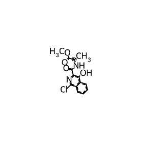 COC(=O)[C@@H](C)NC(=O)c1nc(Cl)c2ccccc2c1O